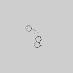 N#Cc1cccc2cc(S(=O)(=O)Nc3ccccc3)ccc12